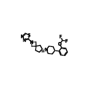 FC(F)Oc1ccccc1C1CCN([C@@H]2CCC3(C2)CN(c2nncs2)C3)CC1